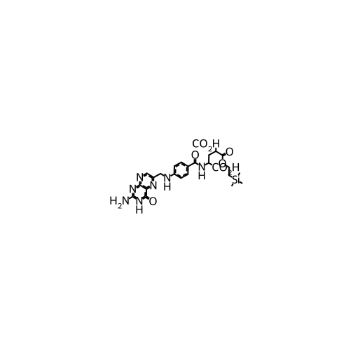 C[Si](C)(C)CCOC(=O)C(CC(NC(=O)c1ccc(NCc2cnc3nc(N)[nH]c(=O)c3n2)cc1)C(=O)O)C(=O)O